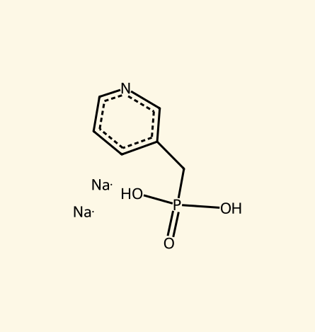 O=P(O)(O)Cc1cccnc1.[Na].[Na]